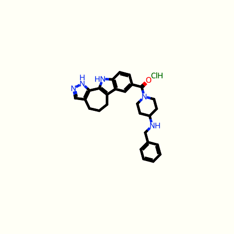 Cl.O=C(c1ccc2[nH]c3c(c2c1)CCCc1cn[nH]c1-3)N1CCC(NCc2ccccc2)CC1